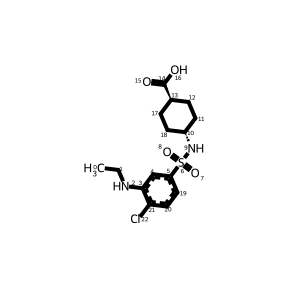 CCNc1cc(S(=O)(=O)N[C@H]2CC[C@H](C(=O)O)CC2)ccc1Cl